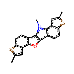 Cc1cc2c(ccc3c2oc2c4ccc5sc(C)cc5c4n(C)c32)s1